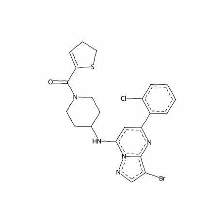 O=C(C1=CCCS1)N1CCC(Nc2cc(-c3ccccc3Cl)nc3c(Br)cnn23)CC1